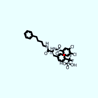 O=C(NCCCCc1ccccc1)[C@H](Cc1ccc(C(F)(F)P(=O)(O)O)cc1)NS(=O)(=O)c1ccc(Cl)c(Cl)c1